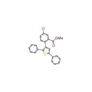 COC(=O)c1cc(Cl)ccc1-c1cc(-c2ccccc2)sc1-c1ccccc1